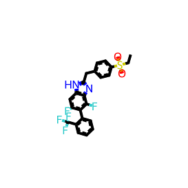 CCS(=O)(=O)c1ccc(Cc2nc3c(F)c(-c4ccccc4C(F)(F)F)c(F)cc3[nH]2)cc1